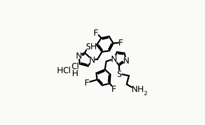 Cl.Cl.Fc1cc(F)cc(Cn2ccnc2S)c1.NCCSc1nccn1Cc1cc(F)cc(F)c1